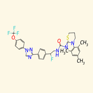 Cc1cc(C)c(N2CCCS/C2=N\C(=O)NCC(F)c2ccc(-c3ncn(-c4ccc(OC(F)(F)F)cc4)n3)cc2)c(C)c1